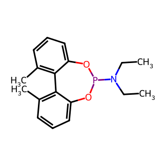 CCN(CC)p1oc2cccc(C)c2c2c(C)cccc2o1